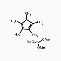 CC1=C(C)C(C)C(C)=C1C.C[O][Ti]([O]C)[O]C